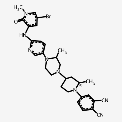 CC1CN(C2CCN(c3ccc(C#N)c(C#N)c3)[C@H](C)C2)CCN1c1ccc(Nc2cc(Br)cn(C)c2=O)nc1